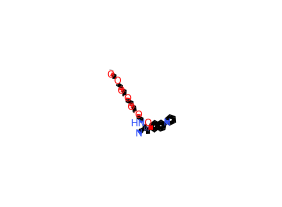 COCCOCCOCCOCCOCCOCCNC(=O)/C(C#N)=C(/C)c1ccc2cc(N3CCCCC3)ccc2c1